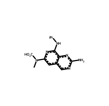 CC(C)Nc1nc(N(C)C(=O)O)cc2cnc(N)nc12